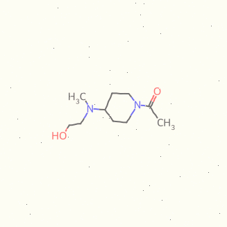 CC(=O)N1CCC(N(C)CCO)CC1